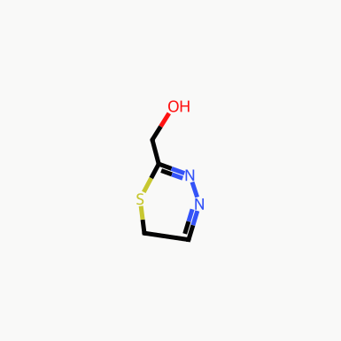 OCC1=NN=CCS1